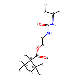 CC/C(C)=N\C(=O)NCCOC(=O)C(C)(C(C)(C)C)C(C)(C)C